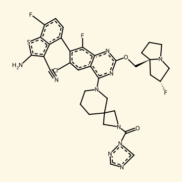 N#Cc1c(N)sc2c(F)ccc(-c3c(Cl)cc4c(N5CCCC6(CN(C(=O)n7cncn7)C6)C5)nc(OC[C@@]56CCCN5C[C@H](F)C6)nc4c3F)c12